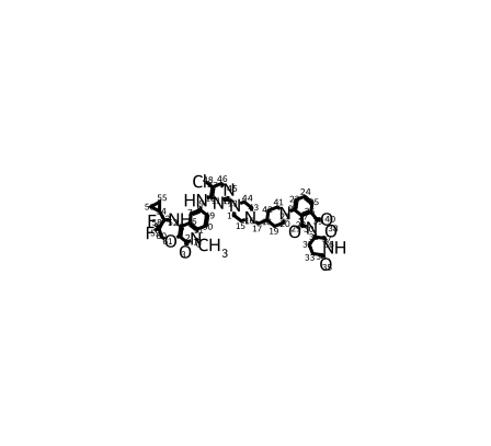 Cn1c(=O)c2c(c3cc(Nc4nc(N5CCN(CC6CCN(c7cccc8c7C(=O)N(C7CCC(=O)NC7=O)C8=O)CC6)CC5)ncc4Cl)ccc31)NC(C1CC1)C(F)(F)CO2